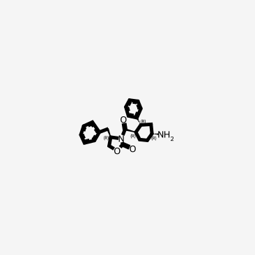 N[C@@H]1CC[C@@H](C(=O)N2C(=O)OC[C@H]2Cc2ccccc2)[C@H](c2ccccc2)C1